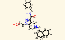 O=C(NCc1ccccc1)c1nn(CCO)c2c1CN(Cc1cccc3ccccc13)CC2